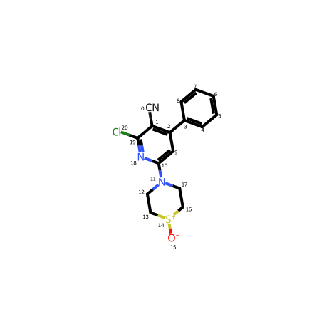 N#Cc1c(-c2ccccc2)cc(N2CC[S+]([O-])CC2)nc1Cl